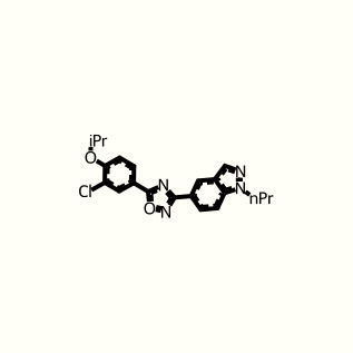 CCCn1ncc2cc(-c3noc(-c4ccc(OC(C)C)c(Cl)c4)n3)ccc21